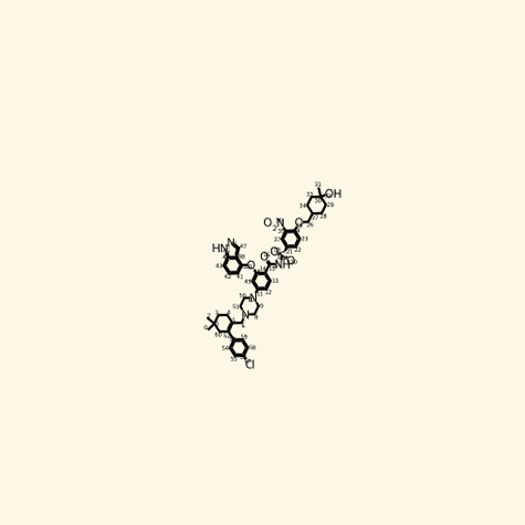 CC1(C)CCC(CN2CCN(c3ccc(C(=O)NS(=O)(=O)c4ccc(OCC5CCC(C)(O)CC5)c([N+](=O)[O-])c4)c(Oc4cccc5[nH]ncc45)c3)CC2)=C(c2ccc(Cl)cc2)C1